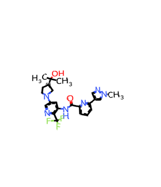 Cn1cc(-c2cccc(C(=O)Nc3cc(N4CC[C@@H](C(C)(C)O)C4)cnc3C(F)(F)F)n2)cn1